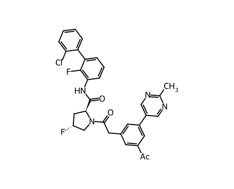 CC(=O)c1cc(CC(=O)N2C[C@H](F)C[C@H]2C(=O)Nc2cccc(-c3ccccc3Cl)c2F)cc(-c2cnc(C)nc2)c1